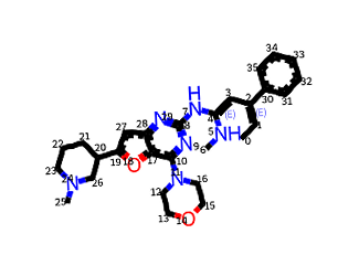 C/C=C(\C=C(/NC)Nc1nc(N2CCOCC2)c2oc(C3CCCN(C)C3)cc2n1)c1ccccc1